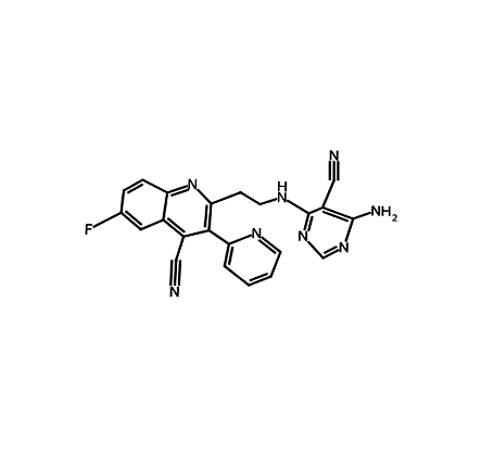 N#Cc1c(N)ncnc1NCCc1nc2ccc(F)cc2c(C#N)c1-c1ccccn1